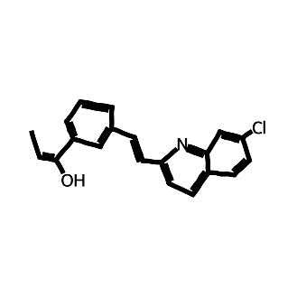 C/C=C(/O)c1cccc(C=Cc2ccc3ccc(Cl)cc3n2)c1